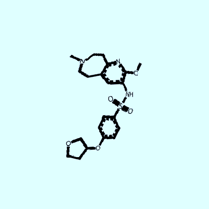 COc1nc2c(cc1NS(=O)(=O)c1ccc(OC3CCOC3)cc1)CCN(C)CC2